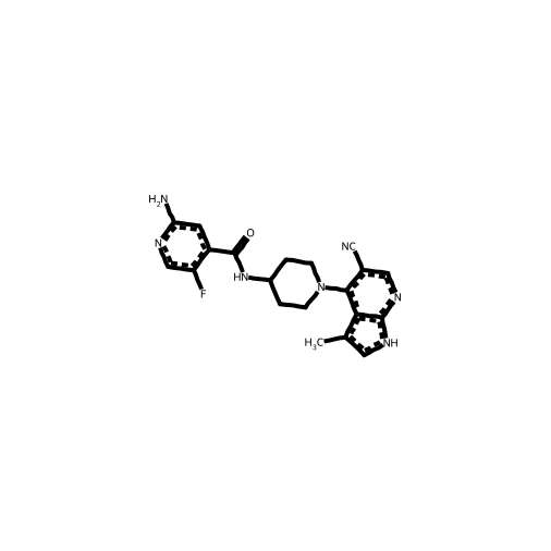 Cc1c[nH]c2ncc(C#N)c(N3CCC(NC(=O)c4cc(N)ncc4F)CC3)c12